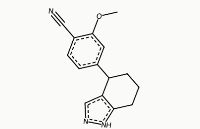 COc1cc(C2CCCc3[nH]ncc32)ccc1C#N